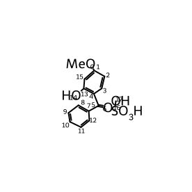 COc1ccc(C(=O)c2ccccc2)c(O)c1.O=S(=O)(O)O